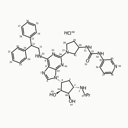 CCCN[C@H]1C[C@@H](n2cnc3c(NCC(c4ccccc4)c4ccccc4)nc(N4CCC(NC(=O)Nc5cccnc5)C4)nc32)[C@H](O)[C@@H]1O.Cl